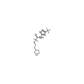 CC(C)(SCCC1CCOC1)C(=O)Nc1nnn(C(C)(C)C)n1